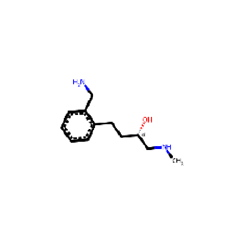 CNC[C@@H](O)CCc1ccccc1CN